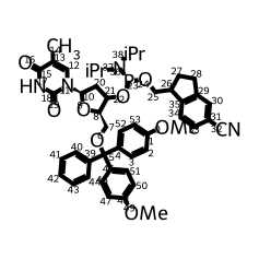 COc1ccc(C(OC[C@H]2O[C@@H](n3cc(C)c(=O)[nH]c3=O)CC2OP(OCC2CCc3cc(C#N)ccc32)N(C(C)C)C(C)C)(c2ccccc2)c2ccc(OC)cc2)cc1